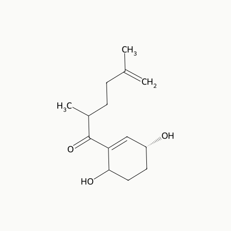 C=C(C)CCC(C)C(=O)C1=C[C@H](O)CCC1O